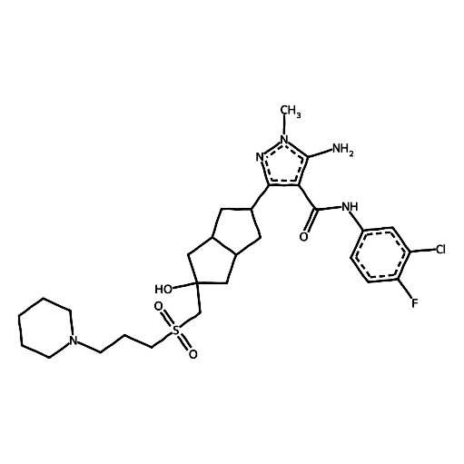 Cn1nc(C2CC3CC(O)(CS(=O)(=O)CCCN4CCCCC4)CC3C2)c(C(=O)Nc2ccc(F)c(Cl)c2)c1N